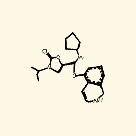 CC(C)N1CC(C(NC2CCCC2)Oc2cccc3c2C=CNC3)OC1=O